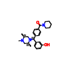 C[C@H]1CN([C@@H](c2ccc(C(=O)N3CCCCC3)cc2)c2cccc(O)c2)[C@@H](C)CN1C